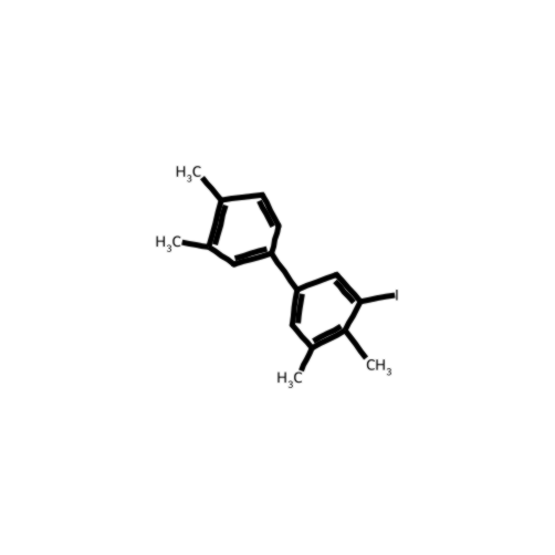 Cc1ccc(-c2cc(C)c(C)c(I)c2)cc1C